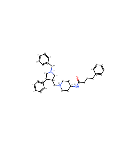 O=C(CCCc1ccccc1)NC1CCN(CC2CN(Cc3ccccc3)CC2c2ccccc2)CC1